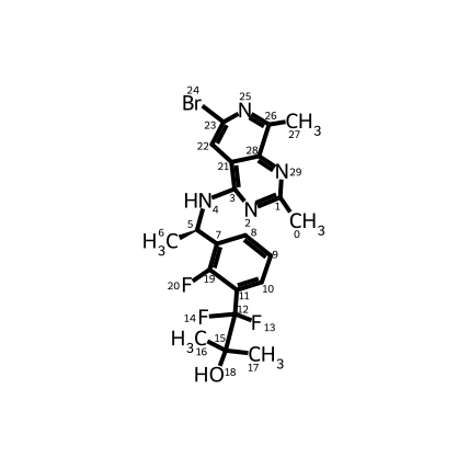 Cc1nc(N[C@H](C)c2cccc(C(F)(F)C(C)(C)O)c2F)c2cc(Br)nc(C)c2n1